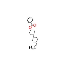 CCC1CCC(C2CCC(OC(=O)c3ccccc3)CC2)CC1